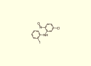 O=Nc1ccc(Cl)cc1Nc1ccccc1I